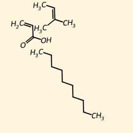 C=CC(=O)O.CC=C(C)C.CCCCCCCCCC